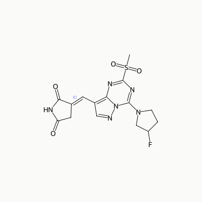 CS(=O)(=O)c1nc(N2CCC(F)C2)n2ncc(/C=C3\CC(=O)NC3=O)c2n1